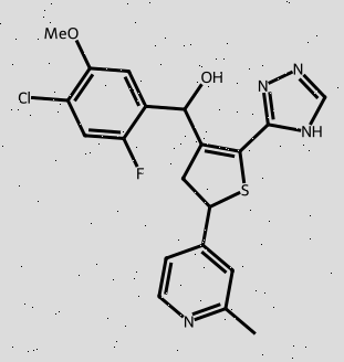 COc1cc(C(O)C2=C(c3nnc[nH]3)SC(c3ccnc(C)c3)C2)c(F)cc1Cl